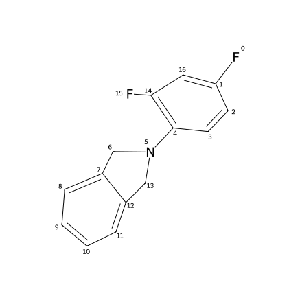 Fc1ccc(N2Cc3ccccc3C2)c(F)c1